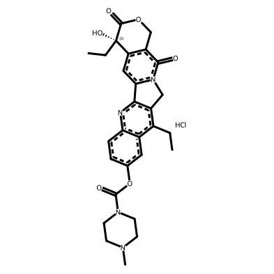 CCc1c2c(nc3ccc(OC(=O)N4CCN(C)CC4)cc13)-c1cc3c(c(=O)n1C2)COC(=O)[C@]3(O)CC.Cl